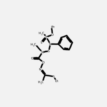 CCSC(C)=NOC(=O)N(C)SN(c1ccccc1)P(C)(=S)OC(C)C